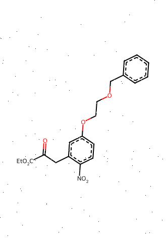 CCOC(=O)C(=O)Cc1cc(OCCOCc2ccccc2)ccc1[N+](=O)[O-]